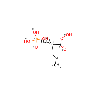 C=C(CCC)C(=O)OO.O=P(O)(O)O